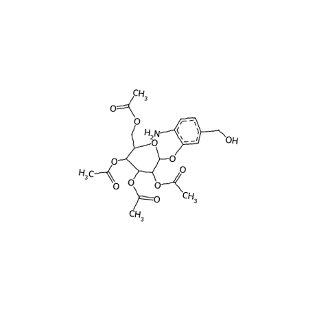 CC(=O)OCC1OC(Oc2cc(CO)ccc2N)C(OC(C)=O)C(OC(C)=O)C1OC(C)=O